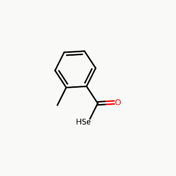 Cc1ccccc1C(=O)[SeH]